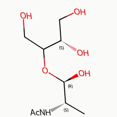 CC(=O)N[C@@H](C)[C@H](O)OC(CO)[C@@H](O)CO